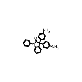 Nc1ccc(C2(c3ccc(N)cc3)C(=O)N(c3ccccc3)c3ccccc32)cc1